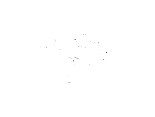 CCNc1c(NC2CCc3sc(NC(=O)C4CC4)c(S(=O)(=O)NCC4CC4)c3C2)c(=O)c1=O